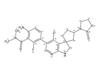 CN(C)C(=O)c1c(N)ccc(-c2cnc3c(c2Cl)C2(CCC(N4CCOC4=O)C2)CN3)c1F